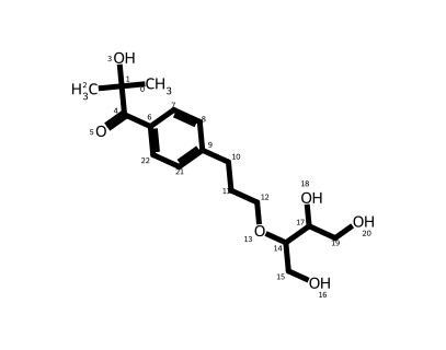 CC(C)(O)C(=O)c1ccc(CCCOC(CO)C(O)CO)cc1